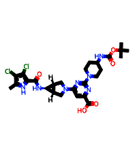 Cc1[nH]c(C(=O)N[C@H]2[C@@H]3CN(c4cc(C(=O)O)nc(N5CCC(NC(=O)OC(C)(C)C)CC5)n4)C[C@@H]32)c(Cl)c1Cl